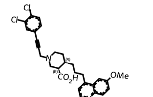 COc1ccc2nccc(CCC[C@@H]3CCN(CC#Cc4ccc(Cl)c(Cl)c4)C[C@@H]3C(=O)O)c2c1